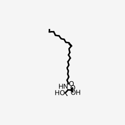 CCCCCCCC/C=C\CCCCCCCCCCCC(=O)N[C@H](C(=O)O)[C@@H](C)O